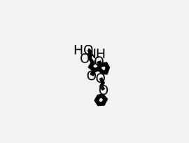 O=C(NO)c1cc(=O)c2c(OCCOc3ccccc3)cccc2o1